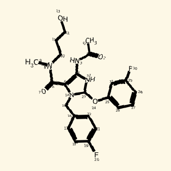 CC(=O)NC1=C(C(=O)N(C)CCCO)N(Cc2ccc(F)cc2)C(Oc2cccc(F)c2)N1